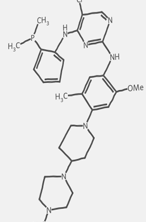 COc1cc(N2CCC(N3CCN(C)CC3)CC2)c(C)cc1Nc1ncc(Cl)c(Nc2ccccc2P(C)C)n1